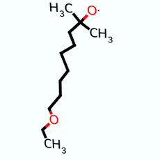 CCOCCCCCCCC(C)(C)[O]